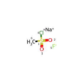 CS(=O)(=O)Cl.[F-].[Na+]